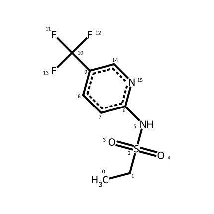 CCS(=O)(=O)Nc1ccc(C(F)(F)F)cn1